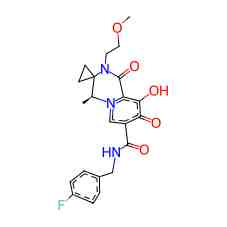 COCCN1C(=O)c2c(O)c(=O)c(C(=O)NCc3ccc(F)cc3)cn2[C@@H](C)C12CC2